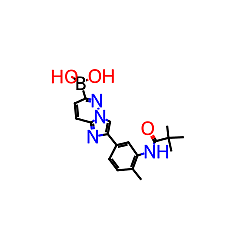 Cc1ccc(-c2cn3nc(B(O)O)ccc3n2)cc1NC(=O)C(C)(C)C